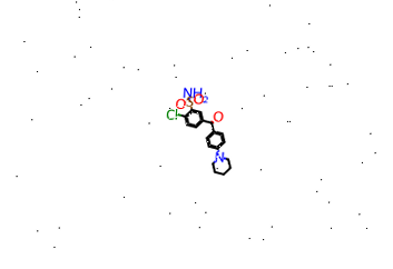 NS(=O)(=O)c1cc(C(=O)c2ccc(N3CCCCC3)cc2)ccc1Cl